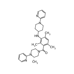 Cc1cc(C)c(C(=O)N2CCN(c3ccccn3)[C@@H](C)C2)c(C)c1NC1CCN(c2ccccn2)CC1